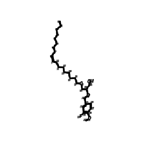 CCCCCCCC/C=C\CCCCCCCCOCC(CO)OCc1ccc(OC)c(F)c1